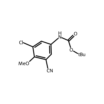 COc1c(Cl)cc(NC(=O)OC(C)(C)C)cc1C#N